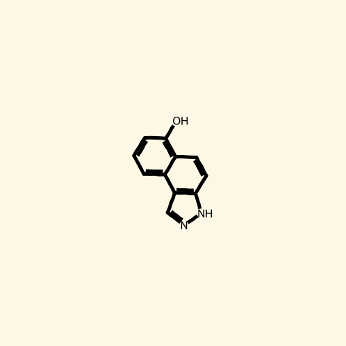 Oc1cccc2c1ccc1[nH]ncc12